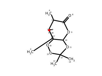 CC1CCC2C(C)C(=O)OC3OC(C)(C)OOC32C1